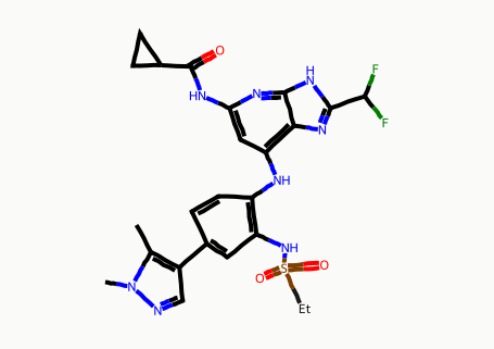 CCS(=O)(=O)Nc1cc(-c2cnn(C)c2C)ccc1Nc1cc(NC(=O)C2CC2)nc2[nH]c(C(F)F)nc12